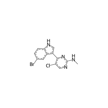 CNc1ncc(Cl)c(-c2c[nH]c3ccc(Br)cc23)n1